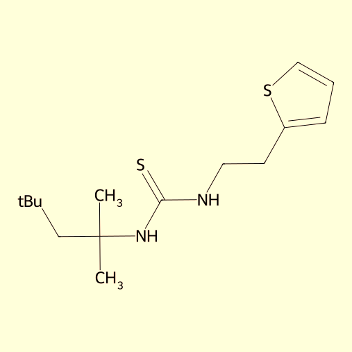 CC(C)(C)CC(C)(C)NC(=S)NCCc1cccs1